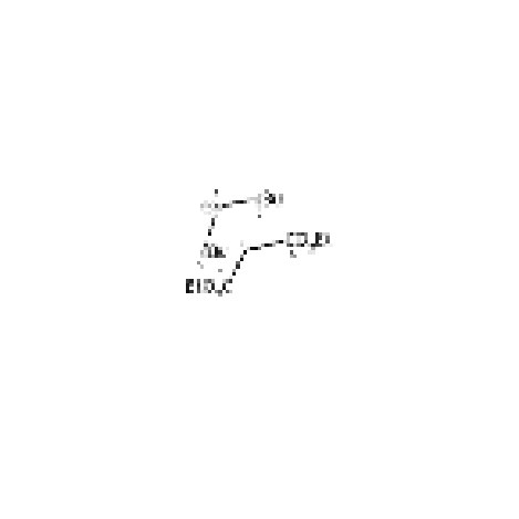 CCC[CH2][Sn][CH2]CCC.CCOC(=O)CC(=O)OCC